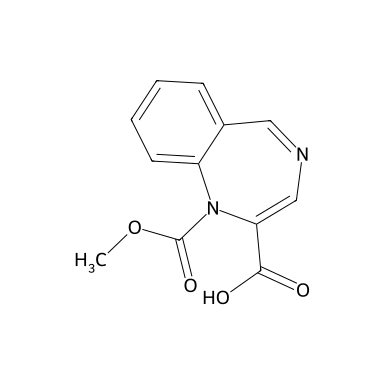 COC(=O)N1C(C(=O)O)=CN=Cc2ccccc21